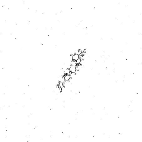 Cn1cc(-c2ccc(N3CCC(n4ncc5c(C(F)(F)F)cccc54)CC3)nn2)cn1